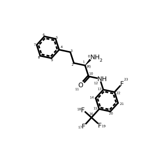 N[C@H](CCc1ccccc1)C(=O)Nc1cc(C(F)(F)F)ccc1F